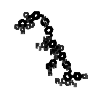 CC1(C)CCC(CN2CCN(c3ccc(C(=O)NS(=O)(=O)c4ccc(NCC5CCC(N6CCN(Cc7ccc8c(c7)C(=O)N(C7CCC(=O)NC7=O)C8=O)CC6)CC5)c(S(=O)(=O)C(F)(F)F)c4)c(Oc4cnc5[nH]ccc5c4)c3)CC2)=C(c2ccc(Cl)cc2)C1